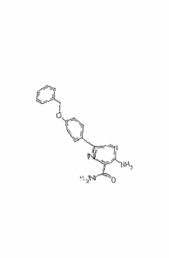 NC(=O)c1nc(-c2ccc(OCc3ccccc3)cc2)cnc1N